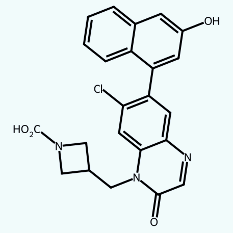 O=C(O)N1CC(Cn2c(=O)cnc3cc(-c4cc(O)cc5ccccc45)c(Cl)cc32)C1